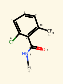 CCNC(=O)c1c(Cl)cccc1C(F)(F)F